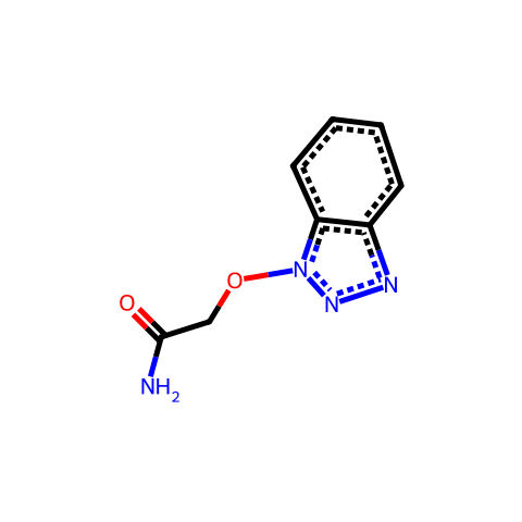 NC(=O)COn1nnc2ccccc21